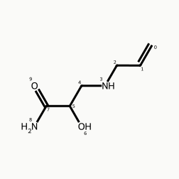 C=CCNCC(O)C(N)=O